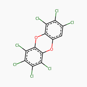 Clc1cc2c(c(Cl)c1Cl)Oc1c(Cl)c(Cl)c(Cl)c(Cl)c1O2